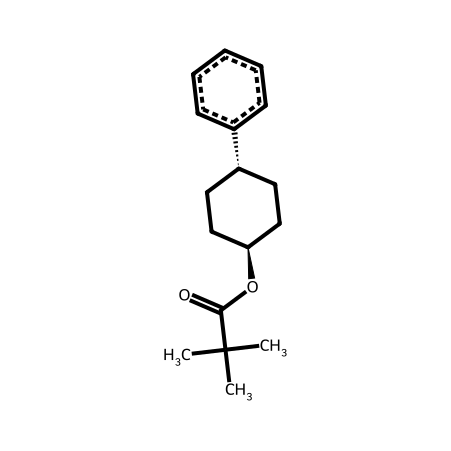 CC(C)(C)C(=O)O[C@H]1CC[C@H](c2ccccc2)CC1